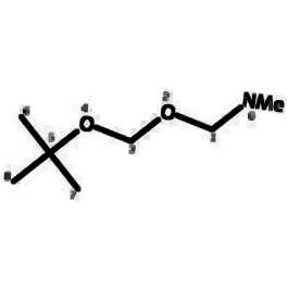 CNCOCOC(C)(C)C